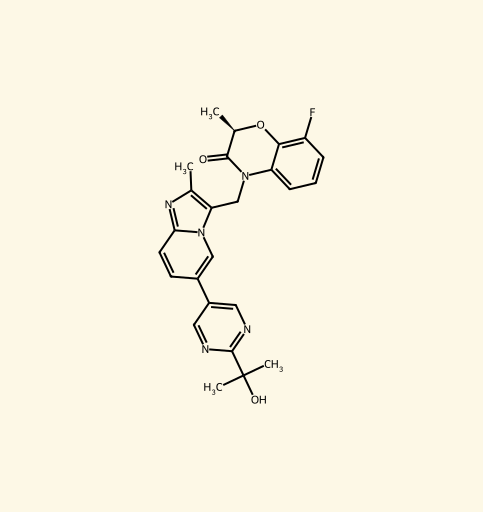 Cc1nc2ccc(-c3cnc(C(C)(C)O)nc3)cn2c1CN1C(=O)[C@@H](C)Oc2c(F)cccc21